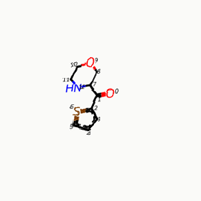 O=C(c1cccs1)C1COCCN1